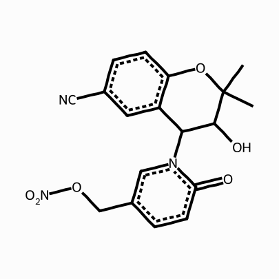 CC1(C)Oc2ccc(C#N)cc2C(n2cc(CO[N+](=O)[O-])ccc2=O)C1O